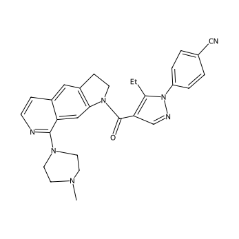 CCc1c(C(=O)N2CCc3cc4ccnc(N5CCN(C)CC5)c4cc32)cnn1-c1ccc(C#N)cc1